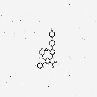 Cc1cc(Nc2nc(NC3CCOC4(CC4)C3)c(-c3ccccn3)nc2C(N)=O)ccc1N1CCC(N2CCN(C)CC2)CC1